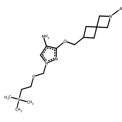 CC(=O)N1CC2(CC(COc3nn(COCC[Si](C)(C)C)cc3N)C2)C1